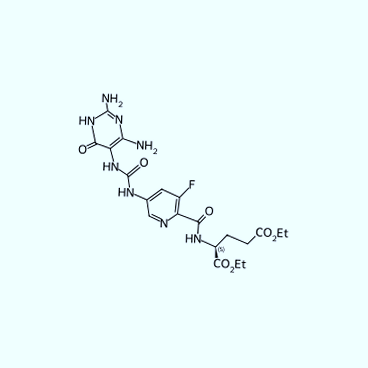 CCOC(=O)CC[C@H](NC(=O)c1ncc(NC(=O)Nc2c(N)nc(N)[nH]c2=O)cc1F)C(=O)OCC